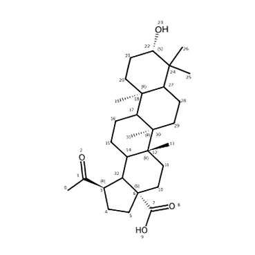 CC(=O)[C@@H]1CC[C@]2(C(=O)O)CC[C@]3(C)C(CCC4[C@@]5(C)CC[C@H](O)C(C)(C)C5CC[C@]43C)C12